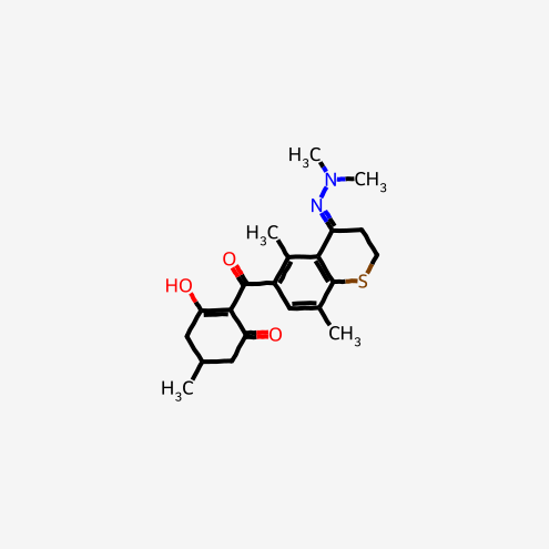 Cc1cc(C(=O)C2=C(O)CC(C)CC2=O)c(C)c2c1SCCC2=NN(C)C